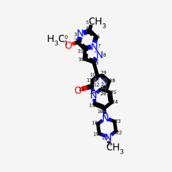 COc1nc(C)cn2nc(C3=C\C(=O)N4C=C(N5CCN(C)CC5)C=C\C4=C/C=C/3)cc12